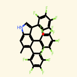 Cc1cc2[nH][c]c(-c3c(F)c(F)c(F)c(F)c3F)c2c(-c2c(F)c(F)c(F)c(F)c2F)c1-c1c(F)c(F)c(F)c(F)c1F